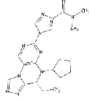 CC[C@@H]1c2nncn2-c2cnc(-n3cnc(C(=O)N(C)C)c3)nc2N1C1CCCC1